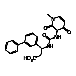 CN1C=CC(=O)C(NC(=O)NC(CC(=O)O)c2cccc(-c3ccccc3)c2)C1=O